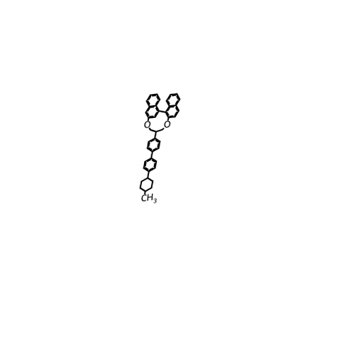 CC1CCC(c2ccc(-c3ccc(C4COc5cc(c6ccccc6c5)-c5c(ccc6ccccc56)OC4)cc3)cc2)CC1